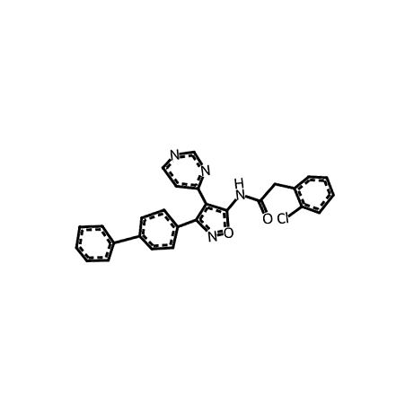 O=C(Cc1ccccc1Cl)Nc1onc(-c2ccc(-c3ccccc3)cc2)c1-c1ccncn1